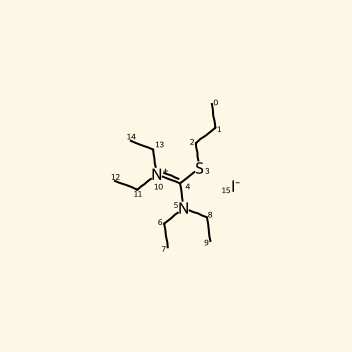 CCCSC(N(CC)CC)=[N+](CC)CC.[I-]